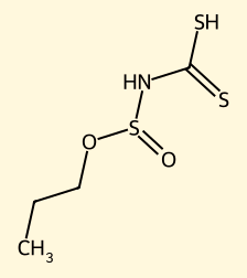 CCCOS(=O)NC(=S)S